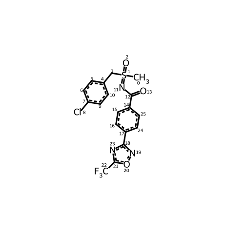 CS(=O)(Cc1ccc(Cl)cc1)=NC(=O)c1ccc(-c2noc(C(F)(F)F)n2)cc1